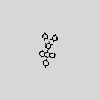 CC(C)(C)c1ccc(-c2c3ccccc3c(-c3cc4c5c(c3)Oc3ccc(C(C)(C)C)cc3B5c3cc(C(C)(C)C)ccc3O4)c3ccccc23)cc1